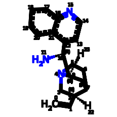 C=C[C@H]1CN2CCC1C[C@@H]2[C@H](N)c1ccnc2ccccc12